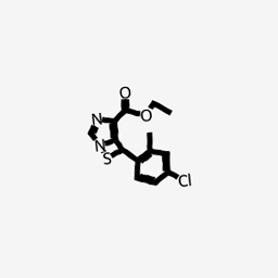 CCOC(=O)c1ncn2c1C(c1ccc(Cl)cc1C)S2